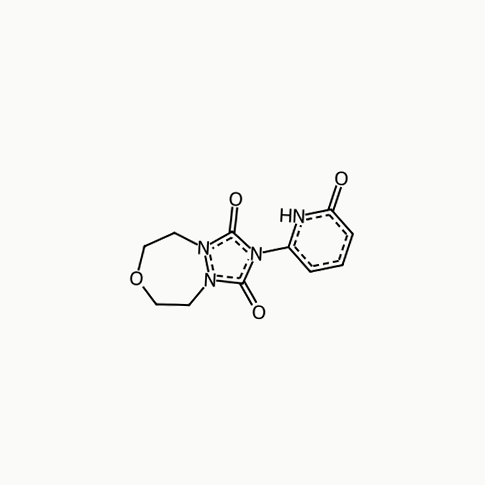 O=c1cccc(-n2c(=O)n3n(c2=O)CCOCC3)[nH]1